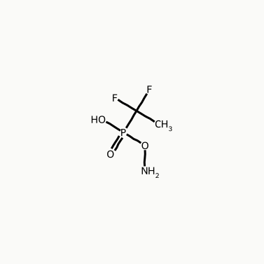 CC(F)(F)P(=O)(O)ON